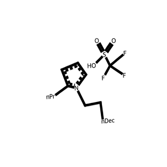 CCCCCCCCCCCCn1cccc1CCC.O=S(=O)(O)C(F)(F)F